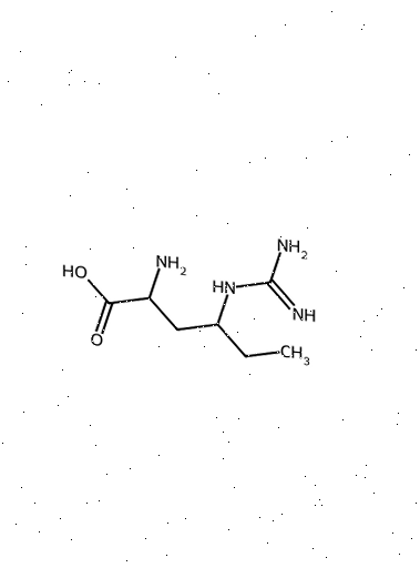 CCC(CC(N)C(=O)O)NC(=N)N